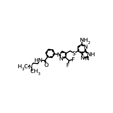 CN(C)CCNC(=O)c1cccc(-n2cc(CSc3cc(N)nc4[nH]nnc34)c(C(F)F)n2)c1